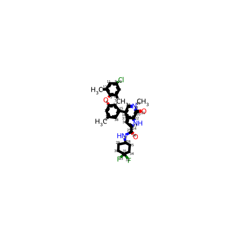 Cc1cc(Oc2c(C)cc(Cl)cc2C)cc(-c2cn(C)c(=O)c3[nH]c(C(=O)NC4CCC(F)(F)CC4)cc23)c1